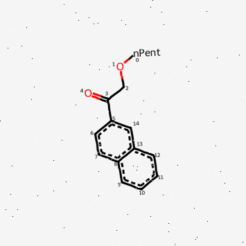 CCCCCOCC(=O)c1ccc2ccccc2c1